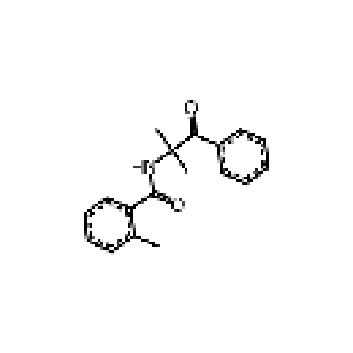 Cc1ccccc1C(=O)NC(C)(C)C(=O)c1ccccc1